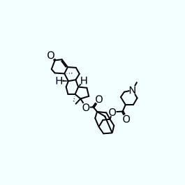 CN1CCC(C(=O)OC23CC4CC(C2)CC(C(=O)OC2(C)CC[C@H]5C6CCC7=CC(=O)CC[C@]7(C)[C@H]6CC[C@@]52C)(C4)C3)CC1